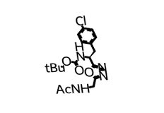 CC(=O)NCc1nnc([C@H](Cc2ccc(Cl)cc2)NC(=O)OC(C)(C)C)o1